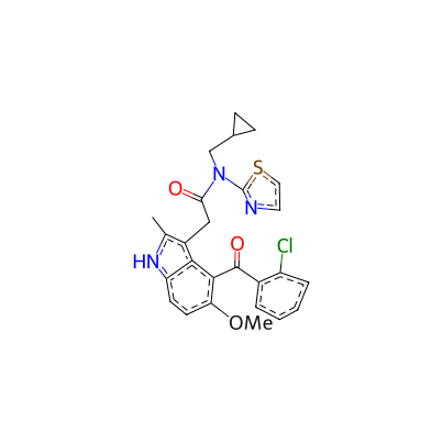 COc1ccc2[nH]c(C)c(CC(=O)N(CC3CC3)c3nccs3)c2c1C(=O)c1ccccc1Cl